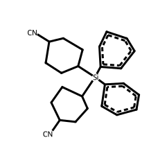 [C-]#[N+]C1CCC([Si](c2ccccc2)(c2ccccc2)C2CCC([N+]#[C-])CC2)CC1